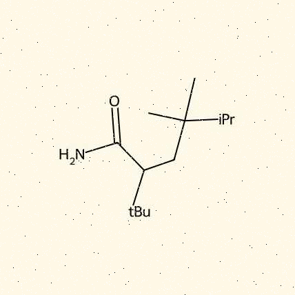 CC(C)C(C)(C)CC(C(N)=O)C(C)(C)C